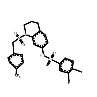 O=S(=O)(Nc1ccc2c(c1)N(S(=O)(=O)Cc1ccc(C(F)(F)F)cc1)CCC2)c1ccc(F)c(F)c1